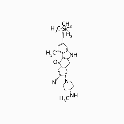 CNC1CCN(c2cc3c(cc2C#N)C(=O)c2c([nH]c4cc(C#C[Si](C)(C)C)cc(C)c24)C3)CC1